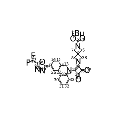 CC(C)(C)OC(=O)N1CC2(C1)CN(c1c(N(Cc3ccc(-c4nnc(C(F)F)o4)cc3)c3ccccc3)c(=O)c1=O)C2